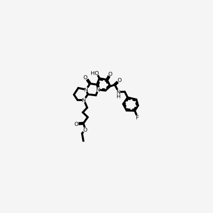 CCOC(=O)CCCN1CCCN2C(=O)c3c(O)c(=O)c(C(=O)NCc4ccc(F)cc4)cn3CC12